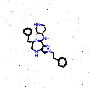 c1ccc(CCn2cc3c(n2)C(NC2CCNCC2)=NC(Cc2ccccc2)CN3)cc1